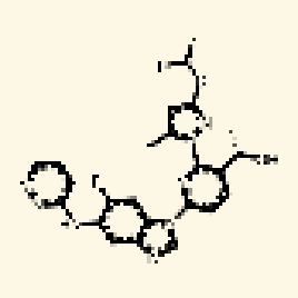 Cc1cc(OC(F)F)nn1-c1nc(-n2cnc3cc(Nc4cccnn4)c(F)cc32)ccc1[C@H](C)O